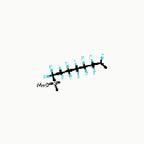 CO[Si](C)(C)C(F)(F)C(F)(F)C(F)(F)C(F)(F)C(F)(F)C(F)(F)C(C)F